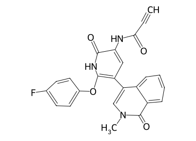 C#CC(=O)Nc1cc(-c2cn(C)c(=O)c3ccccc23)c(Oc2ccc(F)cc2)[nH]c1=O